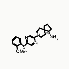 COc1ccccc1Sc1cnc(N2CCC3(CCC[C@H]3N)CC2)cn1